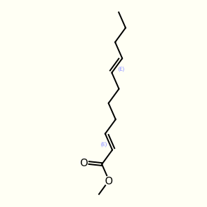 CCC/C=C/CCC/C=C/C(=O)OC